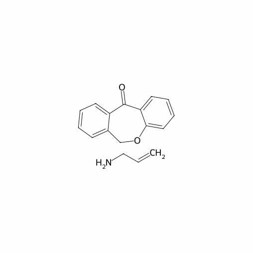 C=CCN.O=C1c2ccccc2COc2ccccc21